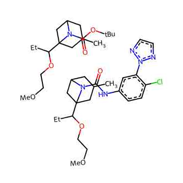 CCC(OCCOC)C12CC(C)CC(C1)N2C(=O)Nc1ccc(Cl)c(-n2nccn2)c1.CCC(OCCOC)C12CC(C)CC(C1)N2C(=O)OC(C)(C)C